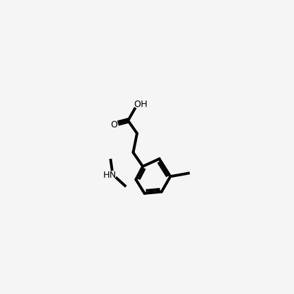 CNC.Cc1cccc(CCC(=O)O)c1